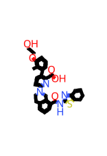 Cc1c(OCCO)cccc1-c1ccc(N2CCc3cccc(C(=O)Nc4nc5c(s4)CCC=C5)c3C2)nc1C(=O)O